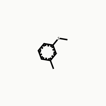 CSc1[c]c(C)ccc1